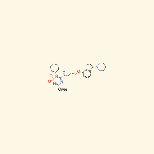 COC1=NS(=O)(=O)N(C2CCCCC2)C(NCCCOc2cccc3c2CCC3N2CCCCC2)=N1